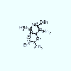 CCN(CC)C(C)Oc1nc(N)nc(OCC(C)C)c1N